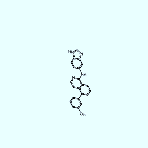 Oc1cccc(-c2cccc3c(Nc4ccc5[nH]cnc5c4)nccc23)c1